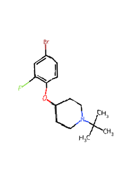 CC(C)(C)N1CCC(Oc2ccc(Br)cc2F)CC1